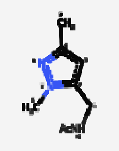 CC(=O)NCc1cc(C)nn1C